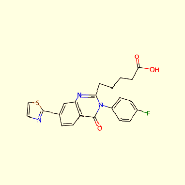 O=C(O)CCCCc1nc2cc(-c3nccs3)ccc2c(=O)n1-c1ccc(F)cc1